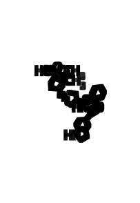 CC(C)(C)c1cc(CN2CCC(CNC3(S(=O)(=O)c4ccccc4)CC3c3ccc4c(c3)CCN4)CC2)ccc1C(=O)O